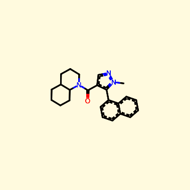 Cn1ncc(C(=O)N2CCCC3CCCCC32)c1-c1cccc2ccccc12